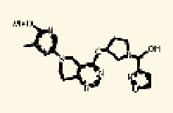 COc1ncc(N2CCc3ncnc(OC4CCN(C(O)c5ccon5)C4)c3C2)cc1C